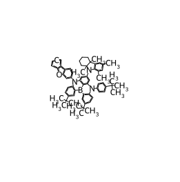 Cc1cc(C)c2c(c1)C1(C)CCCCC1(C)N2c1cc2c3c(c1)N(c1ccc4c(c1)oc1ccccc14)c1ccc(C(C)(C)C)cc1B3c1cc(C(C)(C)C)ccc1N2c1ccc(C(C)(C)C)cc1